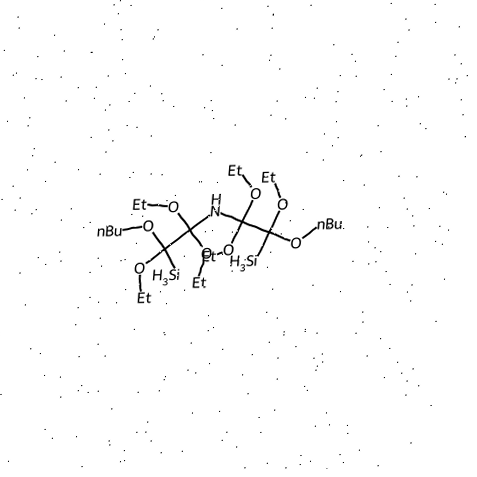 CCCCOC([SiH3])(OCC)C(NC(OCC)(OCC)C([SiH3])(OCC)OCCCC)(OCC)OCC